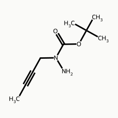 CC#CCN(N)C(=O)OC(C)(C)C